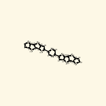 c1cc2sc3c4sc(-c5cnc(-c6cc7sc8c9sccc9sc8c7s6)cn5)cc4sc3c2s1